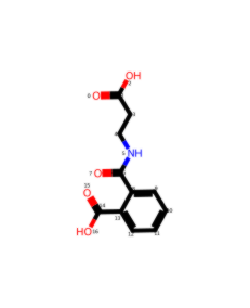 O=C(O)CCNC(=O)c1ccccc1C(=O)O